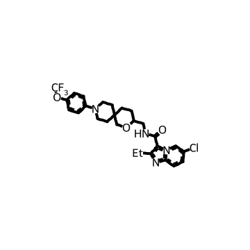 CCc1nc2ccc(Cl)cn2c1C(=O)NCC1CCC2(CCN(c3ccc(OC(F)(F)F)cc3)CC2)CO1